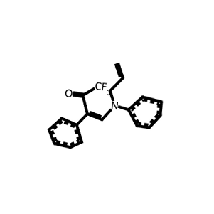 C=CCN(/C=C(\C(=O)C(F)(F)F)c1ccccc1)c1ccccc1